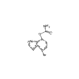 NC(=O)Oc1ccc(Br)c2cc[nH]c12